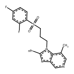 CCCc1nc2cncc(C)c2n1CCCS(=O)(=O)c1ccc(F)cc1F